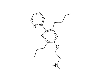 CCCCc1cc(OCCN(C)C)c(CCC)cc1-c1ccc[c]n1